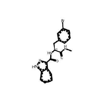 CNC(=O)[C@H](Cc1cccc(Br)c1)NC(=O)c1n[nH]c2ccccc12